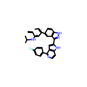 C=C/C(=C\C(=C/C)c1ccc2[nH]nc(-c3cc4c(-c5ccc(F)cc5)nccc4[nH]3)c2c1)NC(C)C